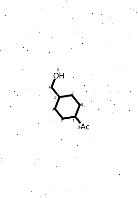 CC(=O)C1CCC(CO)CC1